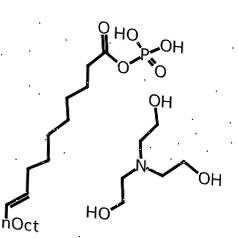 CCCCCCCCC=CCCCCCCCC(=O)OP(=O)(O)O.OCCN(CCO)CCO